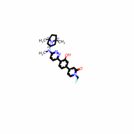 CN(c1ccc(-c2ccc(-c3ccn(CF)c(=O)c3)cc2O)nn1)[C@@H]1C[C@]2(C)CC[C@](C)(C1)N2